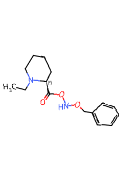 CCN1CCCC[C@H]1C(=O)ONOCc1ccccc1